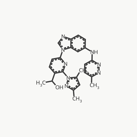 Cc1ccc(Nc2ccc3ncn(-c4ccc(C(C)O)c(-n5nc(C)cc5C)n4)c3c2)nn1